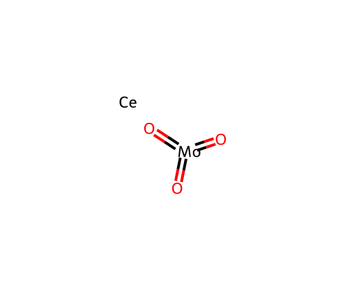 [Ce].[O]=[Mo](=[O])=[O]